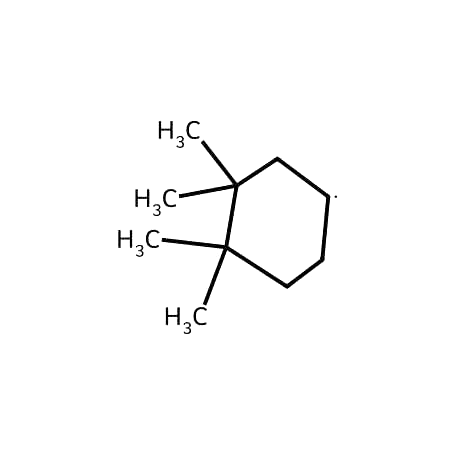 CC1(C)C[CH]CCC1(C)C